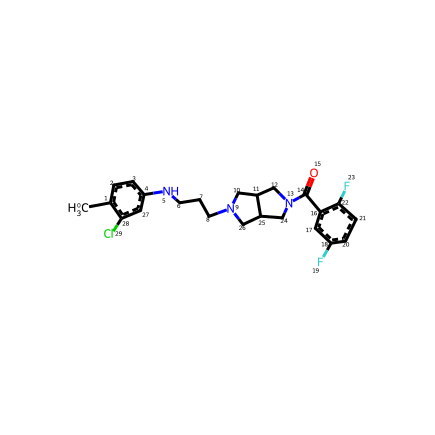 Cc1ccc(NCCCN2CC3CN(C(=O)c4cc(F)ccc4F)CC3C2)cc1Cl